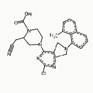 Cc1cccc2cccc(N3Cc4nc(Cl)nc(N5CCN(C(=O)O)C(CC#N)C5)c4C3)c12